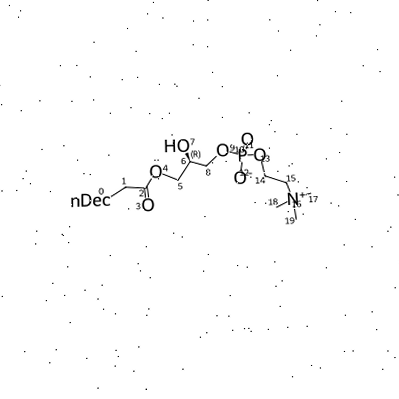 CCCCCCCCCCCC(=O)OC[C@@H](O)COP(=O)([O-])OCC[N+](C)(C)C